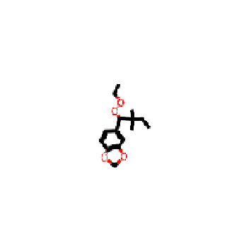 CCOOC(c1ccc2c(c1)OCO2)C(C)(C)CC